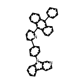 c1ccc(-c2c3ccccc3c(-c3cccc(-c4ccc(-n5c6ccccc6c6ccncc65)cc4)n3)c3ccccc23)cc1